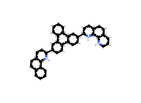 c1ccc2c(c1)ccc1ccc(-c3ccc4c5ccc(-c6ccc7ccc8cccnc8c7n6)cc5c5ccccc5c4c3)nc12